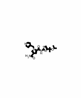 CC(C)OC(C)(C)c1csc(NC(=O)c2cc(C(N)=O)cn2Cc2ccncc2)n1